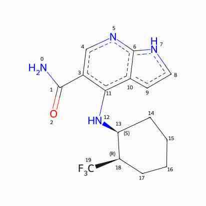 NC(=O)c1cnc2[nH]ccc2c1N[C@H]1CCCC[C@H]1C(F)(F)F